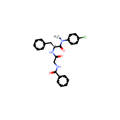 CN(C(=O)[C@H](Cc1ccccc1)NC(=O)CNC(=O)c1ccccc1)c1ccc(Cl)cc1